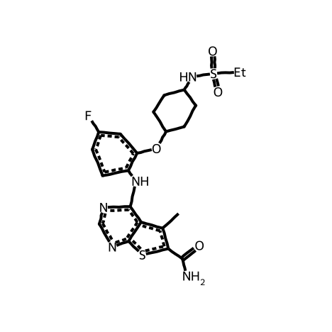 CCS(=O)(=O)NC1CCC(Oc2cc(F)ccc2Nc2ncnc3sc(C(N)=O)c(C)c23)CC1